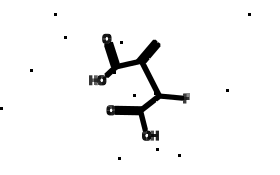 C=C(C(=O)O)C(F)C(=O)O